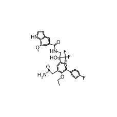 CCOc1c(CC(N)=O)cc([C@@](O)(CNC(=O)c2cc(OC)c3[nH]ccc3c2)C(F)(F)F)nc1-c1ccc(F)cc1